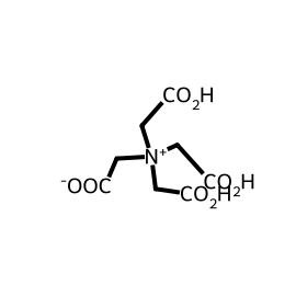 O=C([O-])C[N+](CC(=O)O)(CC(=O)O)CC(=O)O